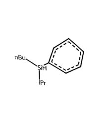 CCCC[SiH](c1ccccc1)C(C)C